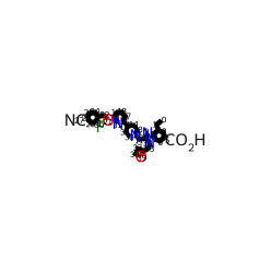 C=Cc1cc(C(=O)O)cc2c1nc(CN1CCC(c3cccc(OCc4ccc(C#N)cc4F)n3)CC1)n2CC1CCO1